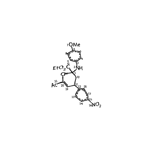 CCOC(=O)C1(Nc2ccc(OC)cc2)CC(c2ccc([N+](=O)[O-])cc2)C=C(C(C)=O)O1